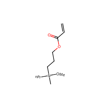 C=CC(=O)OCCC[Si](C)(CCC)OC